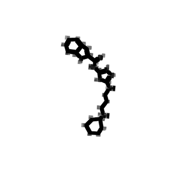 O=C(Nc1nnc(NCCCNC2CCCCC2)s1)c1cc2ccccc2s1